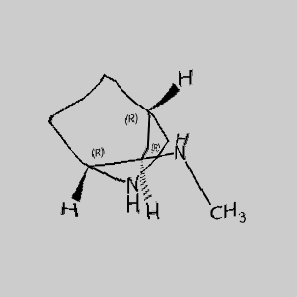 CN[C@@H]1[C@@H]2CC[C@H]1NC2